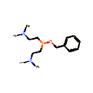 CC(C)N(CCP(CCN(C(C)C)C(C)C)OCc1ccccc1)C(C)C